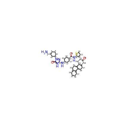 NCc1cccc(-n2nc(Nc3ccc(C(=O)Nc4sccc4[C@H]4Cc5c(ccc6c5ccc5ccccc56)CC4=O)cc3)[nH]c2=O)c1